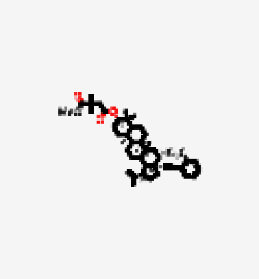 C=C(C)[C@@H]1CC[C@]2(C#Cc3ccccc3C(=O)O)CC[C@]3(C)C(CCC4[C@@]5(C)CC[C@H](OC(=O)CC(C)(C)C(=O)OC)C(C)(C)C5CC[C@]43C)C12